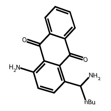 CCCCC(N)c1ccc(N)c2c1C(=O)c1ccccc1C2=O